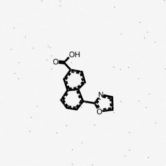 O=C(O)c1ccc2c(-c3ncco3)cccc2c1